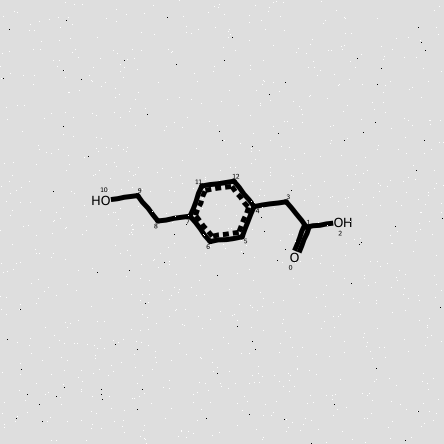 O=C(O)Cc1ccc(CCO)cc1